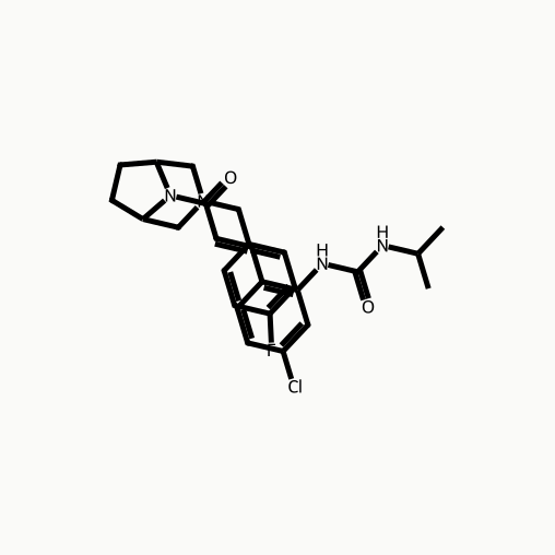 CC(C)NC(=O)Nc1cc(Cl)ccc1C=CC(=O)N1C2CCC1CN(Cc1ccc(F)cc1)C2